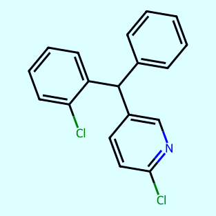 Clc1ccc(C(c2ccccc2)c2ccccc2Cl)cn1